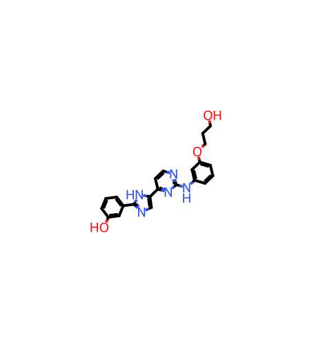 OCCCOc1cccc(Nc2nccc(-c3cnc(-c4cccc(O)c4)[nH]3)n2)c1